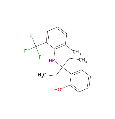 CCC(CC)(Pc1c(C)cccc1C(F)(F)F)c1ccccc1O